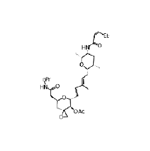 C[CH]/C=C\C(=O)N[C@@H]1C[C@H](C)[C@H](C/C=C(C)/C=C/[C@H]2O[C@H](CC(=O)NCCC)C[C@@]3(CO3)[C@@H]2OC(C)=O)O[C@@H]1C